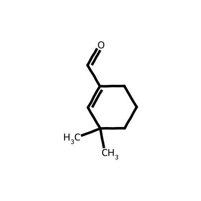 CC1(C)C=C(C=O)CCC1